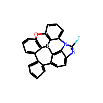 Fc1nc2ccc3c4c2n1-c1cccc2c1B4c1c(cccc1-c1ccccc1-3)O2